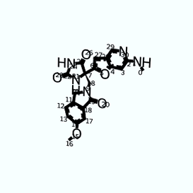 CNc1cc2oc([C@]3(CN4Cc5ccc(OC)cc5C4=O)NC(=O)NC3=O)cc2cn1